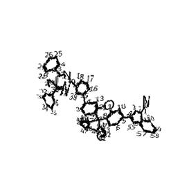 N#Cc1cc(-c2ccc3c(c2)Oc2cc(-c4cccc(-c5nc(-c6ccccc6)nc(-c6ccccc6)n5)c4)ccc2C32c3ccccc3-c3ccccc32)cc2ccccc12